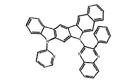 c1ccc(-c2nc3ccccc3nc2-n2c3cc4ccccc4cc3c3cc4c5ccccc5n(-c5ccccn5)c4cc32)cc1